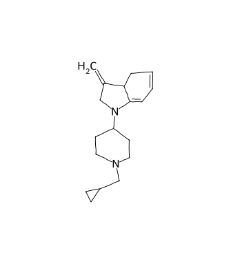 C=C1CN(C2CCN(CC3CC3)CC2)C2=CC=CCC12